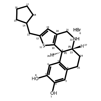 Br.Oc1cc2c(cc1O)[C@H]1c3sc(CC4CCCC4)cc3CN[C@@H]1CC2